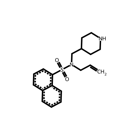 C=CCN(CC1CCNCC1)S(=O)(=O)c1cccc2ccccc12